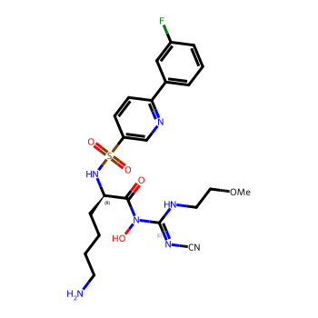 COCCN/C(=N\C#N)N(O)C(=O)[C@@H](CCCCN)NS(=O)(=O)c1ccc(-c2cccc(F)c2)nc1